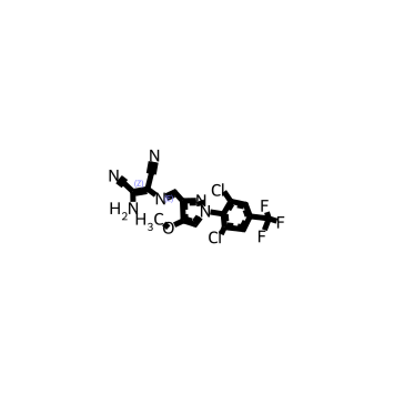 COc1cn(-c2c(Cl)cc(C(F)(F)F)cc2Cl)nc1/C=N/C(C#N)=C(\N)C#N